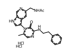 CC(=O)NCc1cc2c(-n3c(C)cnc(NCCc4ccccc4)c3=O)c[nH]c2cn1.Cl.Cl